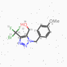 COc1ccc(Cn2nnc(C(F)(F)Br)c2CO)cc1